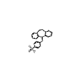 O=S(=O)(Cl)c1ccc(C=C2c3ccccc3CCc3ccccc32)cc1